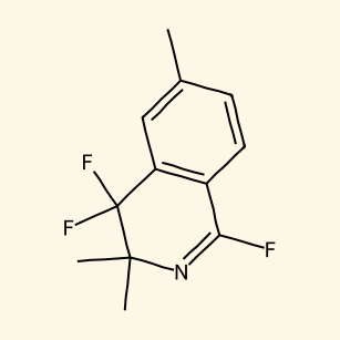 Cc1ccc2c(c1)C(F)(F)C(C)(C)N=C2F